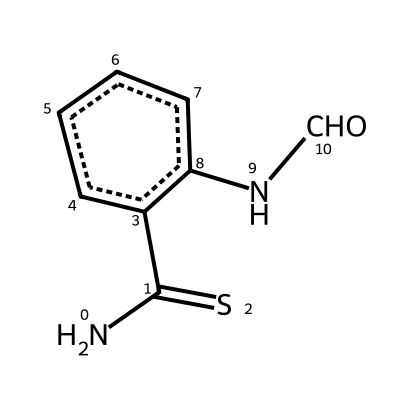 NC(=S)c1ccccc1NC=O